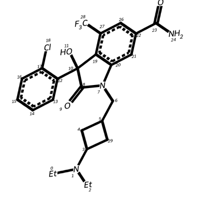 CCN(CC)C1CC(CN2C(=O)C(O)(c3ccccc3Cl)c3c2cc(C(N)=O)cc3C(F)(F)F)C1